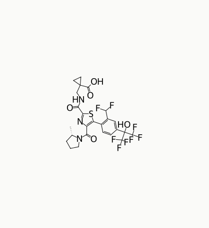 C[C@H]1CCCN1C(=O)c1nc(C(=O)NCC2(C(=O)O)CC2)sc1-c1ccc(C(O)(C(F)(F)F)C(F)(F)F)cc1C(F)F